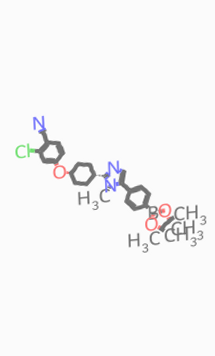 Cn1c(-c2ccc(B3OC(C)(C)C(C)(C)O3)cc2)cnc1[C@H]1CC[C@H](Oc2ccc(C#N)c(Cl)c2)CC1